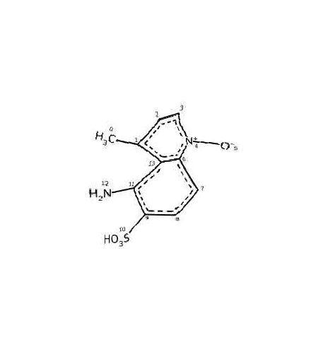 Cc1cc[n+]([O-])c2ccc(S(=O)(=O)O)c(N)c12